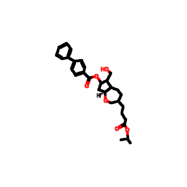 CC(C)OC(=O)CCCC1CCC2C(CO)C(OC(=O)c3ccc(-c4ccccc4)cc3)C[C@@H]2OC1